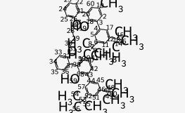 Cc1cc(-c2cc(C(C)(C)C)cc(C(C)(C)C)c2)c(O)c(-c2ccccc2OCCCOc2ccccc2-c2cc(C)cc(-c3cc(C(C)(C)C)cc(C(C)(C)C)c3)c2O)c1